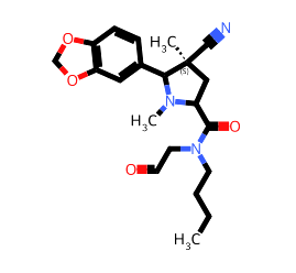 CCCCN(CC=O)C(=O)C1C[C@](C)(C#N)C(c2ccc3c(c2)OCO3)N1C